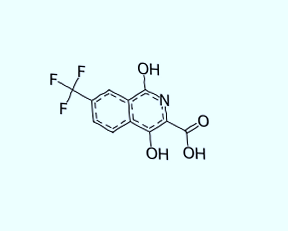 O=C(O)c1nc(O)c2cc(C(F)(F)F)ccc2c1O